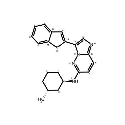 O[C@@H]1CCC[C@@H](Nc2ccc3ncc(-c4cc5ccccc5s4)n3n2)C1